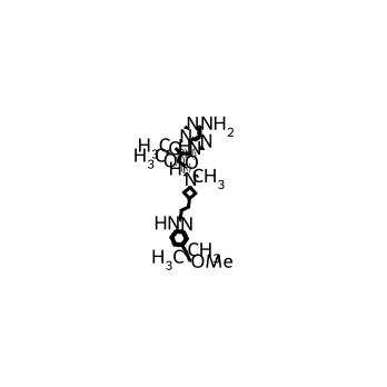 COCC(C)(C)c1ccc2[nH]c(CCC3CC(N(C)C[C@H]4O[C@@H](n5cnc6c(N)ncnc65)[C@@H]5OC(C)(C)O[C@@H]54)C3)nc2c1